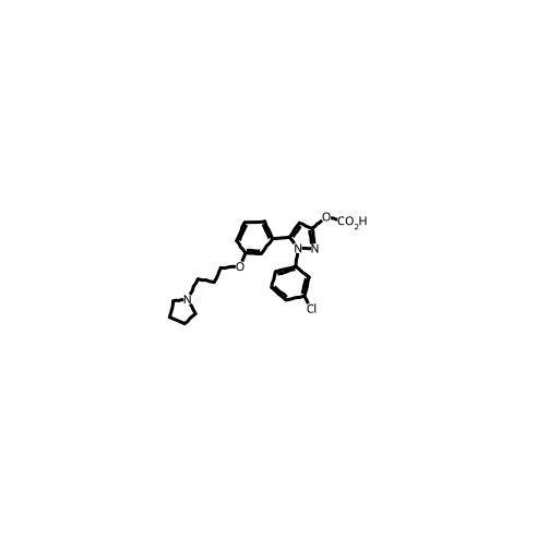 O=C(O)Oc1cc(-c2cccc(OCCCN3CCCC3)c2)n(-c2cccc(Cl)c2)n1